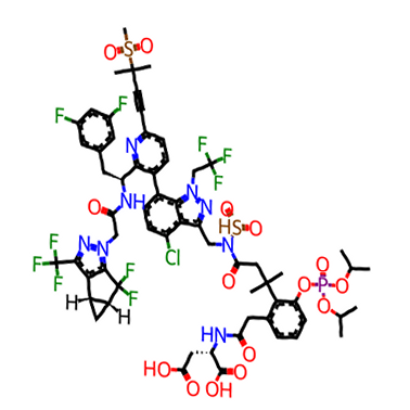 CC(C)OP(=O)(Oc1cccc(CC(=O)N[C@@H](CC(=O)O)C(=O)O)c1C(C)(C)CC(=O)N(Cc1nn(CC(F)(F)F)c2c(-c3ccc(C#CC(C)(C)S(C)(=O)=O)nc3[C@H](Cc3cc(F)cc(F)c3)NC(=O)Cn3nc(C(F)(F)F)c4c3C(F)(F)[C@@H]3C[C@H]43)ccc(Cl)c12)[SH](=O)=O)OC(C)C